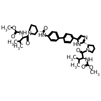 COC(=O)N[C@H](C(=O)N1CCC[C@H](C(=O)Nc2ccc(-c3ccc(-c4cnc([C@@H]5CCCN5C(=O)[C@@H](NC(=O)OC)C(C)C)[nH]4)cc3)cc2)C1)C(C)C